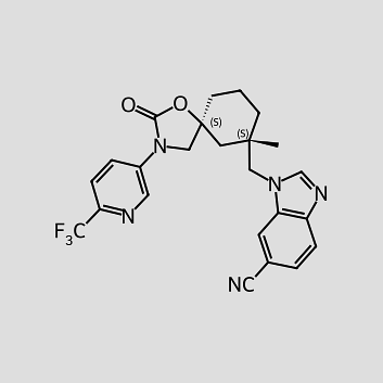 C[C@]1(Cn2cnc3ccc(C#N)cc32)CCC[C@@]2(CN(c3ccc(C(F)(F)F)nc3)C(=O)O2)C1